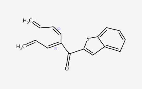 C=C/C=C\C(=C/C=C)C(=O)c1cc2ccccc2s1